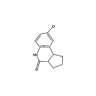 O=C1Nc2ccc(Cl)cc2C2CCCC12